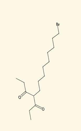 CCC(=O)C(CCCCCCCCCBr)C(=O)CC